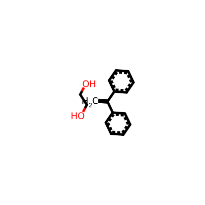 C=C(c1ccccc1)c1ccccc1.OCCO